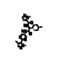 Cc1cnn(C)c1-c1ncc(NC(=O)[C@@H](NC(=O)c2ccnn2C)[C@H]2CC[C@H](C)CC2)cn1